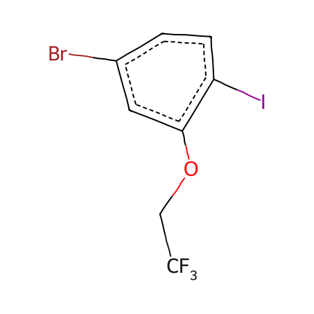 FC(F)(F)COc1cc(Br)ccc1I